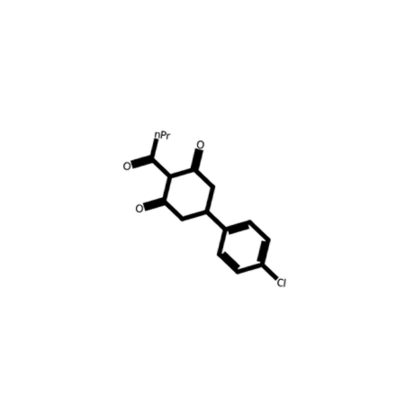 CCCC(=O)C1C(=O)CC(c2ccc(Cl)cc2)CC1=O